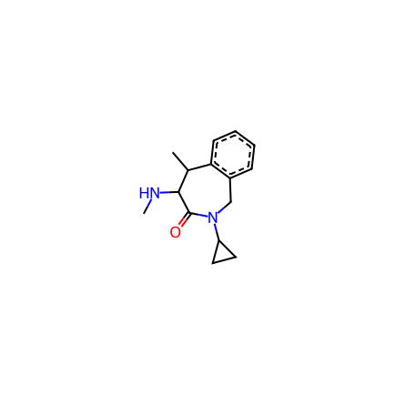 CNC1C(=O)N(C2CC2)Cc2ccccc2C1C